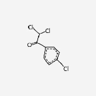 O=C(c1ccc(Cl)cc1)C(Cl)Cl